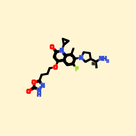 Cc1c(N2CCC([C@H](C)N)C2)c(F)cc2c(OCCCc3n[nH]c(=O)o3)cc(=O)n(C3CC3)c12